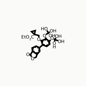 CCOC(=O)C1(COc2c(-c3ccc4c(c3)COC4=O)ccc(OC(O)(O)O)c2OC(O)(O)O)CC1